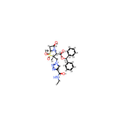 CCNC(=O)c1cn(C[C@@]2(C)[C@H](C(=O)OC(c3ccccc3)c3ccccc3)N3C(=O)C[C@@H]3S2(=O)=O)nn1